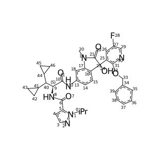 CC(C)n1nccc1C(=O)N[C@H](C(=O)Nc1ccc2c(c1)N(C)C(=O)C2(O)c1cc(F)cnc1OCc1ccccc1)C(C1CC1)C1CC1